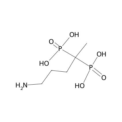 CC(CCCN)(P(=O)(O)O)P(=O)(O)O